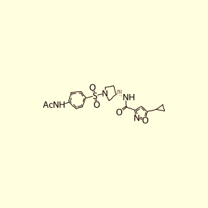 CC(=O)Nc1ccc(S(=O)(=O)N2CC[C@H](NC(=O)c3cc(C4CC4)on3)C2)cc1